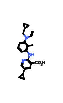 C=CN(CC1CC1)c1cccc(Nc2ncc(C3CC3)cc2C(=O)O)c1C